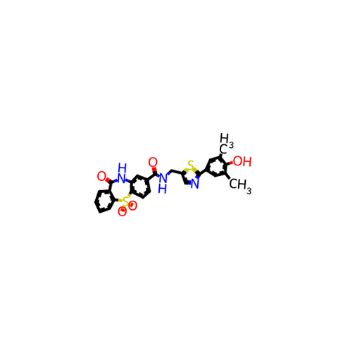 Cc1cc(-c2ncc(CNC(=O)c3ccc4c(c3)NC(=O)c3ccccc3S4(=O)=O)s2)cc(C)c1O